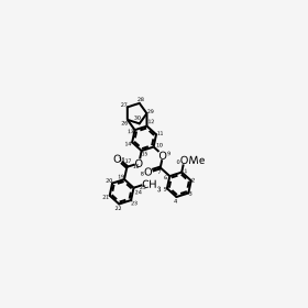 COc1ccccc1C(=O)Oc1cc2c(cc1OC(=O)c1ccccc1C)C1CCC2C1